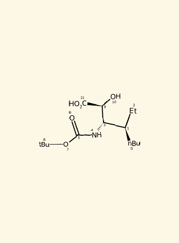 CCCC[C@H](CC)[C@H](NC(=O)OC(C)(C)C)[C@H](O)C(=O)O